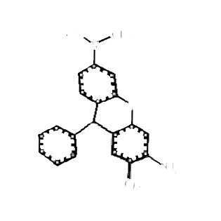 Cc1cc2c(cc1N)Oc1cc(N(C)C)ccc1C2c1ccccc1